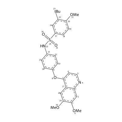 COc1cc2nccc(Oc3ccc(NS(=O)(=O)c4ccc(OC)c(C(C)(C)C)c4)cc3)c2cc1OC